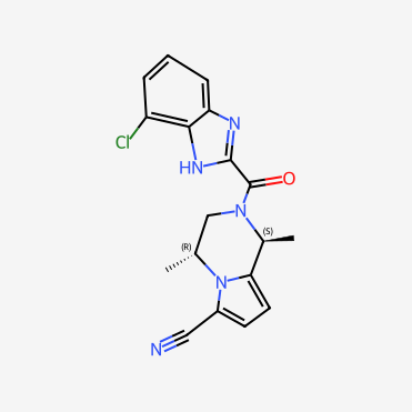 C[C@@H]1CN(C(=O)c2nc3cccc(Cl)c3[nH]2)[C@@H](C)c2ccc(C#N)n21